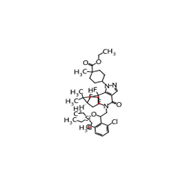 CCOC(=O)C1(C)CCC(n2ncc(C(=O)N(CC(O[Si](CC)(CC)CC)c3c(Cl)cccc3Cl)C3C[C@@H]4[C@H](C3)C4(C)C)c2C(F)(F)F)CC1